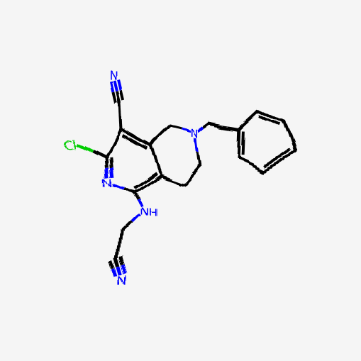 N#CCNc1nc(Cl)c(C#N)c2c1CCN(Cc1ccccc1)C2